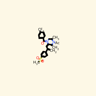 C=C(/C=C1\C(=C)N(C(C)=O)C(C)CN1C(=O)c1ccc(C(F)(F)F)cc1)c1ccc(S(C)(=O)=O)cc1